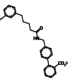 O=C(CCCCc1cccc(F)c1)NCc1ccc(-c2ccccc2C(=O)O)cc1